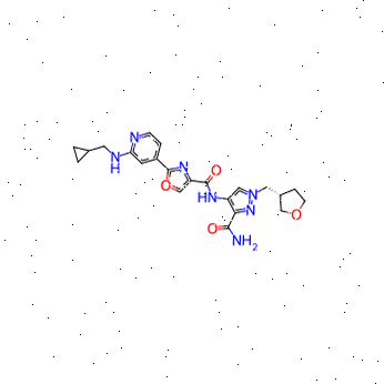 NC(=O)c1nn(C[C@@H]2CCOC2)cc1NC(=O)c1coc(-c2ccnc(NCC3CC3)c2)n1